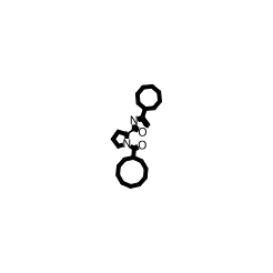 O=C(C1CCCCCCCCC1)N1CCC[C@H]1c1nc(C2CCCCCCC2)co1